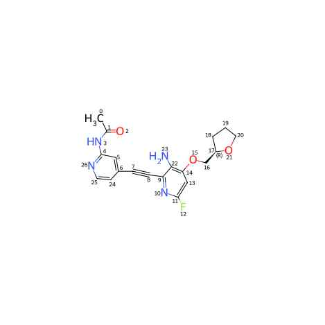 CC(=O)Nc1cc(C#Cc2nc(F)cc(OC[C@H]3CCCO3)c2N)ccn1